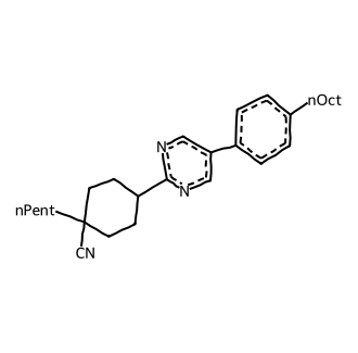 CCCCCCCCc1ccc(-c2cnc(C3CCC(C#N)(CCCCC)CC3)nc2)cc1